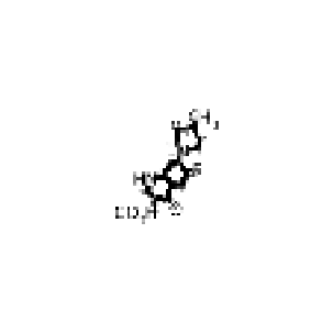 CN1CCN(c2cc3[nH]cc(C(=O)O)c(=O)c3cc2F)CC1